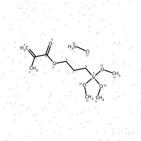 C=C(C)C(=O)OCCC[Si](OC)(OC)OC.[SiH3]Cl